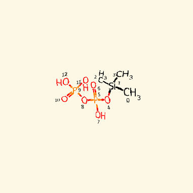 C[Si](C)(C)OP(=O)(O)OP(=O)(O)O